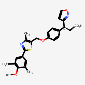 CCCOc1c(C)cc(-c2nc(C)c(COc3ccc([C@H](CC(=O)O)c4ccon4)cc3)s2)cc1C